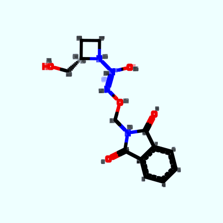 O=C1c2ccccc2C(=O)N1CO/N=[N+](\[O-])N1CC[C@H]1CO